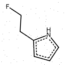 FCCc1ccc[nH]1